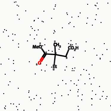 CCC(C)(CC(=O)O)C(=O)OC